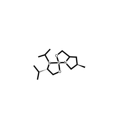 CC(C)[C@H]1CO[Si]2(OCC3C[C@@H](C)CN32)N1C(C)C